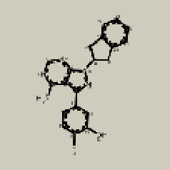 Nc1ncnc2c1c(-c1ccc(F)c(O)c1)nn2C1Cc2ccccc2C1